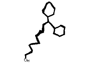 OCCCCCCCC(C1CCCCC1)C1CCCCC1